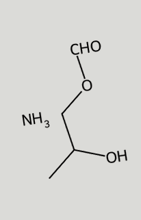 CC(O)COC=O.N